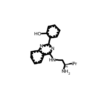 CC(C)[C@@H](N)CNc1nc(-c2ccccc2O)nc2ccccc12